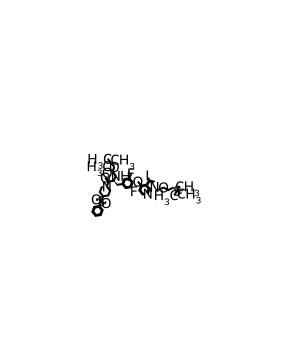 CC(C)(C)OC(=O)N[C@@H](Cc1cc(F)c(Oc2ccnc3c2c(I)cn3COCCS(C)(C)C)c(F)c1)C(=O)N1CCC(S(=O)(=O)c2ccccc2)CC1